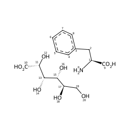 N[C@@H](Cc1ccccc1)C(=O)O.O=C(O)[C@H](O)[C@@H](O)[C@H](O)[C@H](O)CO